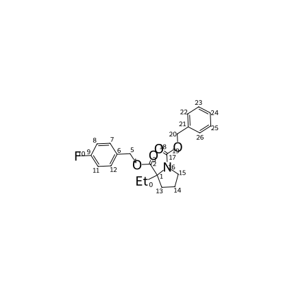 CCC1(C(=O)OCc2ccc(F)cc2)CCCN1C(=O)OCc1ccccc1